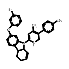 CC1=C(c2ccc(C(C)(C)C)cc2)CNC(N2c3cc(Oc4cccc(Br)c4)ccc3C3CCC=CC32)=C1